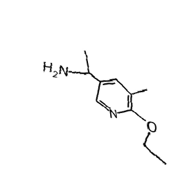 CCOc1ncc(C(C)N)cc1C